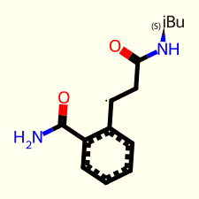 CC[C@H](C)NC(=O)C[CH]c1ccccc1C(N)=O